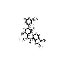 CCN1Cc2c(ccnc2N[C@@H](C)c2cc(F)c(-c3cc(C#N)ccn3)cc2F)C1=O